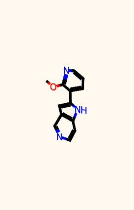 COc1ncccc1-c1cc2cnccc2[nH]1